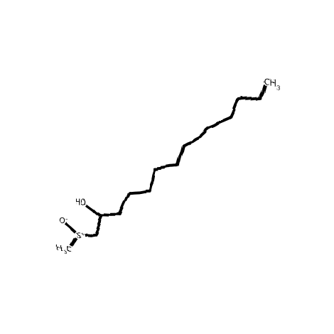 CCCCCCCCCCCCC(O)C[S+](C)[O-]